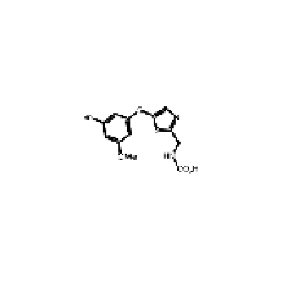 COc1cc(Br)cc(Sc2cnc(CNC(=O)O)s2)c1